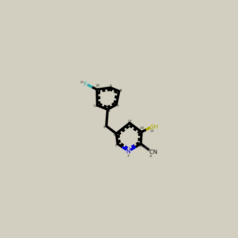 N#Cc1ncc(Cc2cccc(F)c2)cc1S